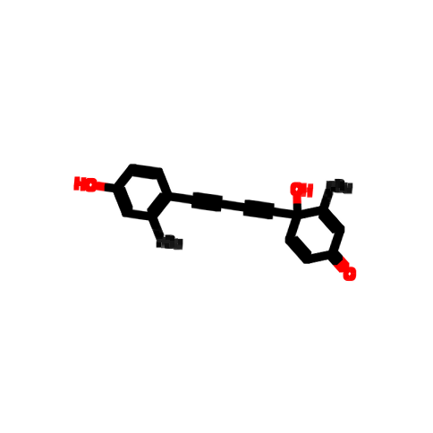 CCCCC1=CC(=O)C=CC1(O)C#CC#Cc1ccc(O)cc1CCCC